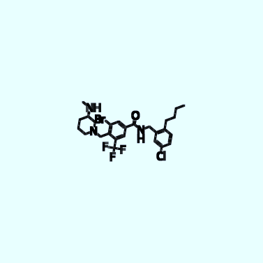 CCCCc1ccc(Cl)cc1CNC(=O)c1cc(Br)c(CN2CCC[C@@H](NC)C2)c(C(F)(F)F)c1